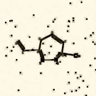 C=CC1=NN=C(Cl)C=CC1